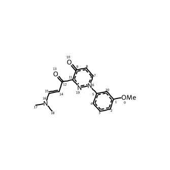 COc1cccc(-n2ccc(=O)c(C(=O)C=CN(C)C)n2)c1